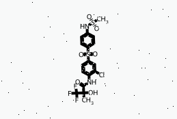 CC(O)(C(=O)Nc1ccc(S(=O)(=O)c2ccc(NS(C)(=O)=O)cc2)cc1Cl)C(F)(F)F